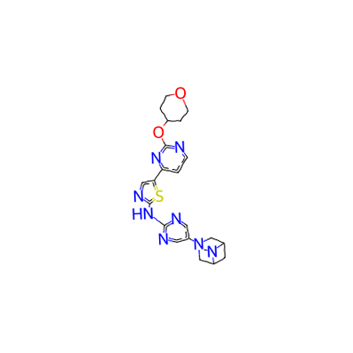 CN1C2CC1CN(c1cnc(Nc3ncc(-c4ccnc(OC5CCOCC5)n4)s3)nc1)C2